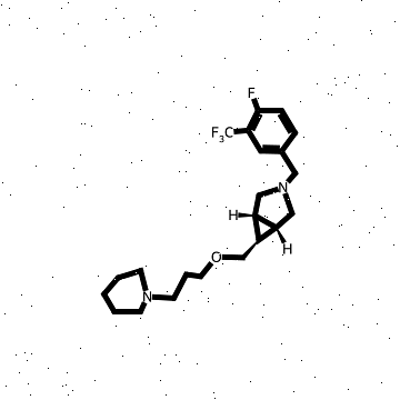 Fc1ccc(CN2C[C@@H]3[C@@H](COCCCN4CCCCC4)[C@@H]3C2)cc1C(F)(F)F